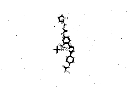 CC(C)(C)NS(=O)(=O)c1cc(NC(=O)OC[C@H]2CCCN2)ccc1-c1cnc(C2CCC(OC(N)=O)CC2)s1